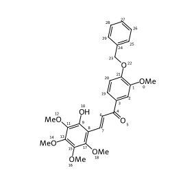 COc1cc(C(=O)C=Cc2c(O)c(OC)c(OC)c(OC)c2OC)ccc1OCc1ccccc1